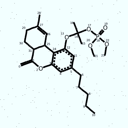 C=C1Oc2cc(CCCCC)cc(OC(C)(C)OP(=O)(OC)OC)c2C2C=C(C)CCC12